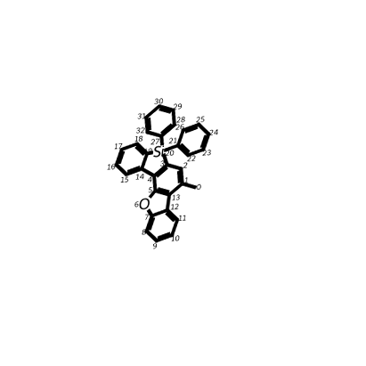 Cc1cc2c(c3oc4ccccc4c13)-c1ccccc1[Si]2(c1ccccc1)c1ccccc1